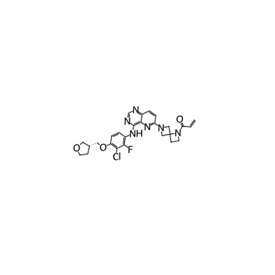 C=CC(=O)N1CCC12CN(c1ccc3ncnc(Nc4ccc(OC[C@@H]5CCOC5)c(Cl)c4F)c3n1)C2